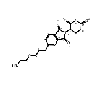 NCCOCCCc1ccc2c(c1)C(=O)N(C1CCC(=O)NC1=O)C2=O